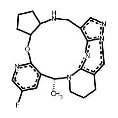 C[C@@H]1c2cc(F)cnc2OC2CCCC2NCc2cnn3cc4c(nc23)N1CCC4